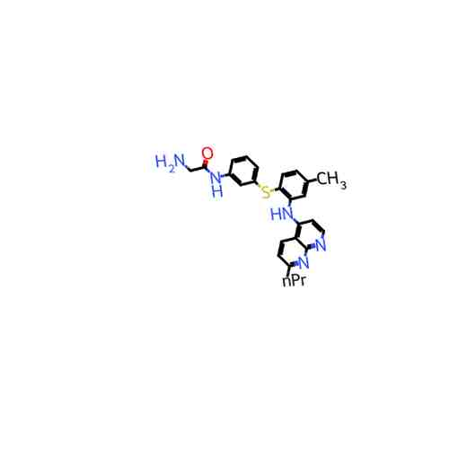 CCCc1ccc2c(Nc3cc(C)ccc3Sc3cccc(NC(=O)CN)c3)ccnc2n1